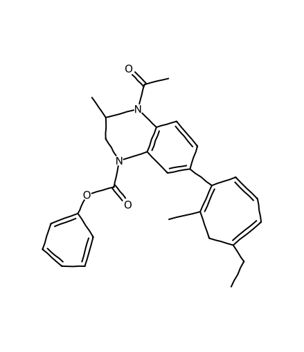 CCC1=CC=CC(c2ccc3c(c2)N(C(=O)Oc2ccccc2)CC(C)N3C(C)=O)=C(C)C1